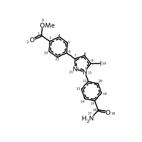 COC(=O)c1ccc(-c2cc(I)n(-c3ccc(C(N)=O)cc3)n2)cc1